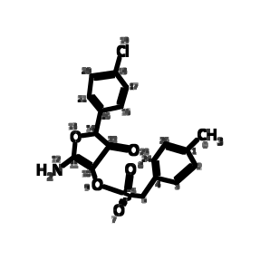 Cc1ccc(CS(=O)(=O)OC2=C(N)OC(c3ccc(Cl)cc3)C2=O)cc1